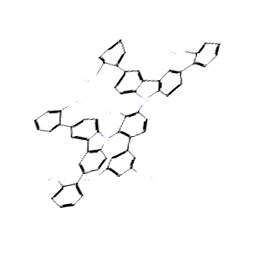 N#Cc1cc(-c2ccc(-n3c4ccc(-c5ccccc5C#N)cc4c4cc(-c5ccccc5C#N)ccc43)c(C#N)c2-n2c3ccc(-c4ccccc4C#N)cc3c3cc(-c4ccccc4C#N)ccc32)cc(C(F)(F)F)c1